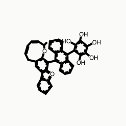 CC1/C=C\C=C/Cc2cc3c(oc4ccccc43)c(-c3c4ccccc4c(-c4c(O)c(O)c(O)c(O)c4O)c4ccccc34)c2O1